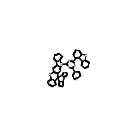 c1ccc(-c2nc(-c3cccc4oc5ccccc5c34)nc(-n3c4ccccc4c4cc5c(cc43)C3(c4ccccc4O5)c4ccccc4-c4ccccc43)n2)cc1